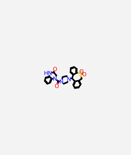 O=C1CN(C(=O)N2CCN(C3c4ccccc4CS(=O)(=O)c4ccccc43)CC2)c2ccccc2N1